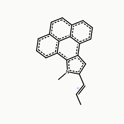 C/C=C/c1cc2c3cccc4ccc5cccc(c5c43)c2n1C